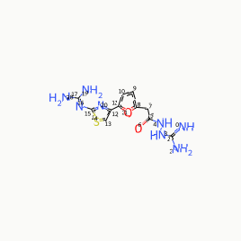 N=C(N)NNC(=O)Cc1ccc(-c2csc(N=C(N)N)n2)o1